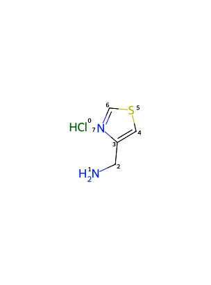 Cl.NCc1cscn1